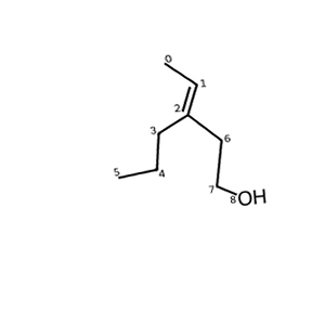 C/C=C(\CCC)CCO